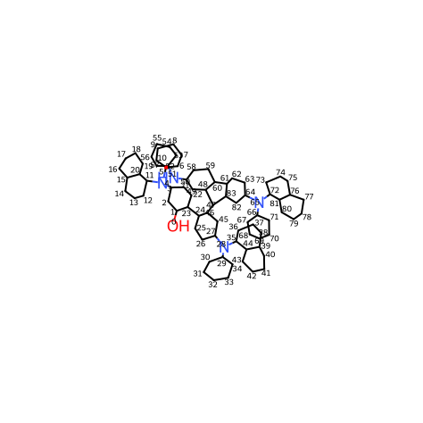 OC1CC(N(C2CCCCC2)C2CCCC3CCCCC32)CCC1C1CCC(N(C2CCCCC2)C2CCCC3CCCCC32)CC1C1C2CC(NC3CCCCC3)CCC2C2CCC(N(C3CCCCC3)C3CCCC4CCCCC43)CC21